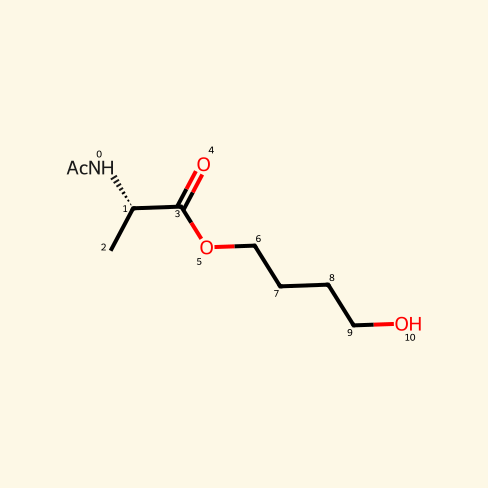 CC(=O)N[C@@H](C)C(=O)OCCCCO